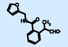 CC([C]=O)c1ccccc1C(=O)NCc1ccco1